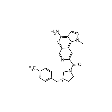 Cn1ncc2c(N)nc3cnc(C(=O)N4CC[C@H](Cc5ccc(C(F)(F)F)cc5)C4)cc3c21